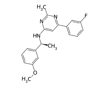 COc1cccc([C@H](C)Nc2cc(-c3cccc(F)c3)nc(C)n2)c1